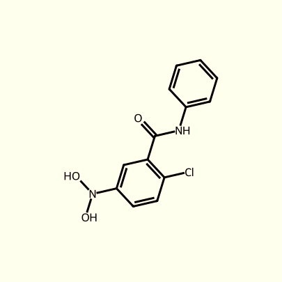 O=C(Nc1ccccc1)c1cc(N(O)O)ccc1Cl